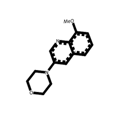 COc1cccc2cc(N3CCOCC3)cnc12